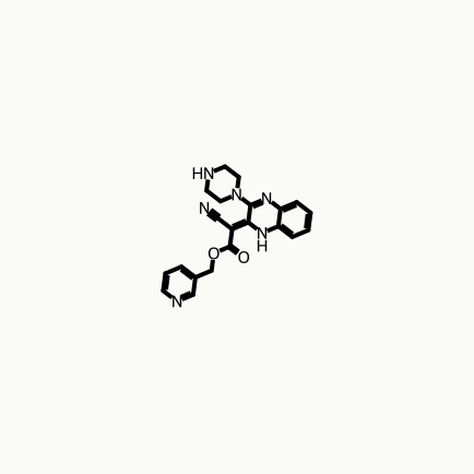 N#C/C(C(=O)OCc1cccnc1)=C1/Nc2ccccc2N=C1N1CCNCC1